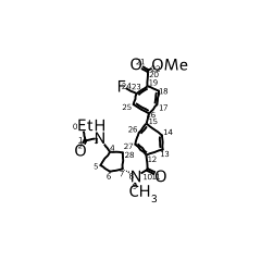 CCC(=O)NC1CC[C@@H](N(C)C(=O)c2ccc(-c3ccc(C(=O)OC)c(F)c3)cc2)C1